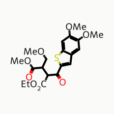 CCOC(=O)C(C(=O)c1cc2cc(OC)c(OC)cc2s1)C(COC)C(=O)OC